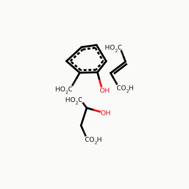 O=C(O)C=CC(=O)O.O=C(O)CC(O)C(=O)O.O=C(O)c1ccccc1O